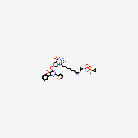 NC(=O)[C@@H]1C[C@@H](Oc2nc(-c3ccco3)nc3c2oc2ccc(F)cc23)CN1C(=O)CCCCCC/C=C\[C@@H]1C[C@@H]1C(=O)N[SH](=O)(I)C1CC1